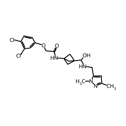 Cc1cc(CNC(O)C23CC(NC(=O)COc4ccc(Cl)c(Cl)c4)(C2)C3)n(C)n1